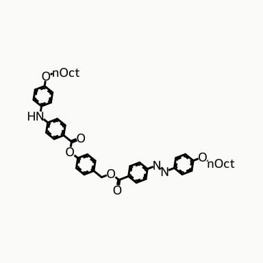 CCCCCCCCOc1ccc(/N=N/c2ccc(C(=O)OCc3ccc(OC(=O)c4ccc(Nc5ccc(OCCCCCCCC)cc5)cc4)cc3)cc2)cc1